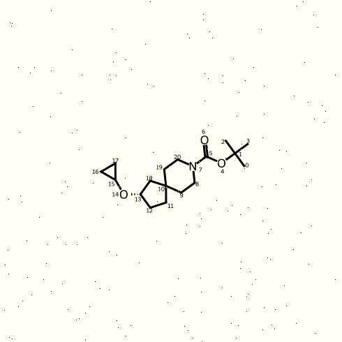 CC(C)(C)OC(=O)N1CCC2(CC[C@H](OC3CC3)C2)CC1